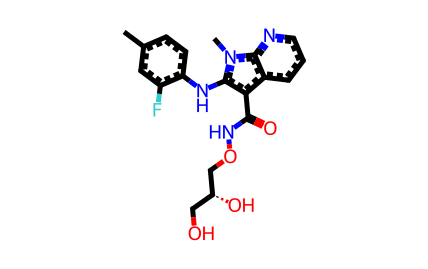 Cc1ccc(Nc2c(C(=O)NOC[C@H](O)CO)c3cccnc3n2C)c(F)c1